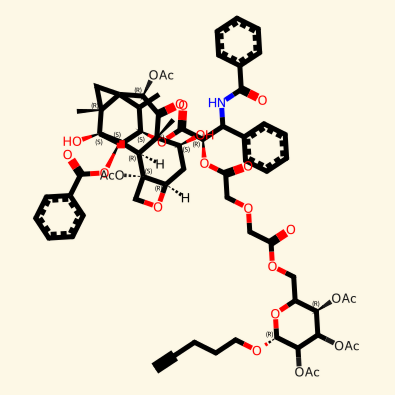 C#CCCCO[C@@H]1OC(COC(=O)COCC(=O)O[C@@H](C(=O)O[C@H]2C[C@@]3(O)[C@@H](OC(=O)c4ccccc4)[C@@H]4[C@]5(OC(C)=O)CO[C@@H]5C[C@H](O)[C@@]4(C)C(=O)[C@H](OC(C)=O)C4(C[C@]43C)C2C)C(NC(=O)c2ccccc2)c2ccccc2)[C@@H](OC(C)=O)C(OC(C)=O)C1OC(C)=O